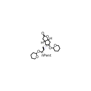 CCCCC[C@@H](/C=C/[C@@H]1[C@H]2CC(=O)O[C@H]2C[C@H]1OC1CCCCO1)OC1CCCCO1